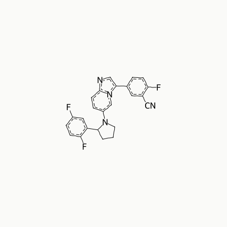 N#Cc1cc(-c2cnc3ccc(N4CCCC4c4cc(F)ccc4F)cn23)ccc1F